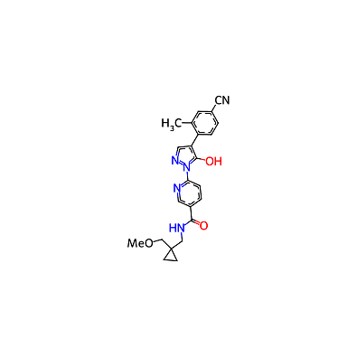 COCC1(CNC(=O)c2ccc(-n3ncc(-c4ccc(C#N)cc4C)c3O)nc2)CC1